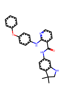 CC1(C)CNc2cc(NC(=O)c3cccnc3Nc3ccc(Oc4ccccc4)cc3)ccc21